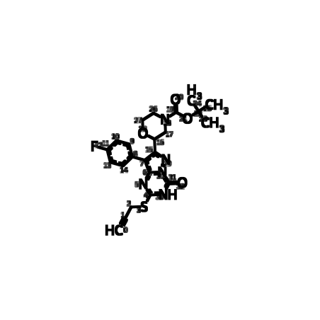 C#CCSc1nc2c(-c3ccc(F)cc3)c(C3CN(C(=O)OC(C)(C)C)CCO3)nn2c(=O)[nH]1